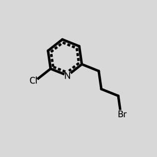 Clc1cccc(CCCBr)n1